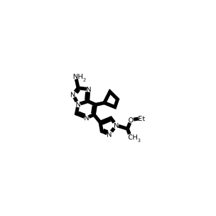 CCOC(C)n1cc(-c2ncn3nc(N)nc3c2C2CCC2)cn1